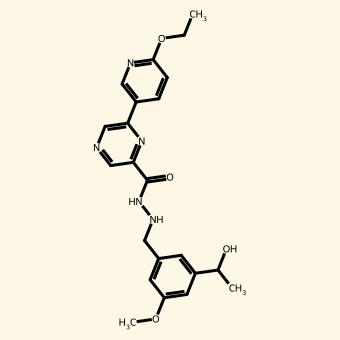 CCOc1ccc(-c2cncc(C(=O)NNCc3cc(OC)cc(C(C)O)c3)n2)cn1